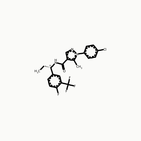 CC[C@H](NC(=O)c1cnn(-c2ccc(Cl)cc2)c1C)c1ccc(F)c(C(F)(F)F)c1